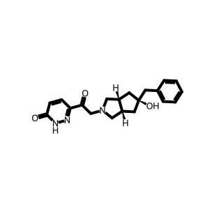 O=C(CN1C[C@@H]2C[C@](O)(Cc3ccccc3)C[C@@H]2C1)c1ccc(=O)[nH]n1